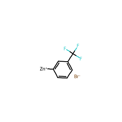 FC(F)(F)c1ccc[c]([Zn+])c1.[Br-]